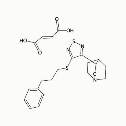 O=C(O)/C=C/C(=O)O.c1ccc(CCCSc2nsnc2C2CN3CCC2CC3)cc1